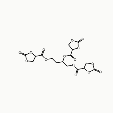 O=C1OCC(C(=O)OCCC(COC(=O)C2COC(=O)O2)OC(=O)C2COC(=O)O2)O1